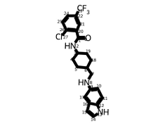 O=C(NC1CCC(CNc2ccc3[nH]ccc3c2)CC1)c1cc(C(F)(F)F)ccc1Cl